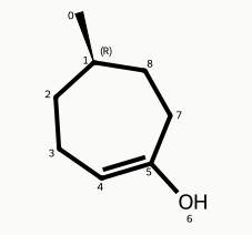 C[C@@H]1CCC=C(O)CC1